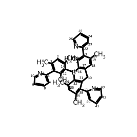 Cc1cc(C)c(-c2ccccn2)c(C)c1B1c2c(cc(C)c(-c3ccccn3)c2C)Cc2c1c(C)cc(C)c2-c1ccccn1